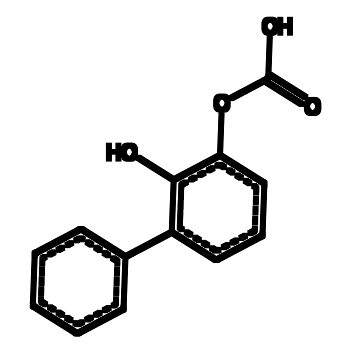 O=C(O)Oc1cccc(-c2ccccc2)c1O